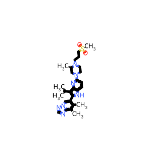 Cc1c(-c2[nH]c3ccc(N4CCN(CCCS(C)(=O)=O)[C@H](C)C4)nc3c2C(C)C)cn2ncnc2c1C